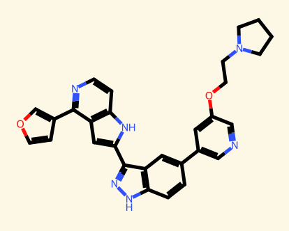 c1cc2[nH]c(-c3n[nH]c4ccc(-c5cncc(OCCN6CCCC6)c5)cc34)cc2c(-c2ccoc2)n1